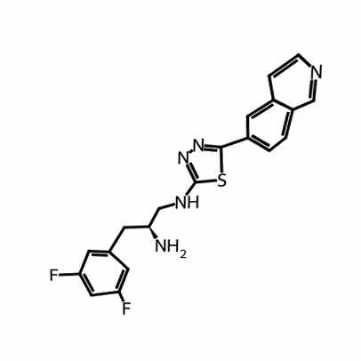 N[C@H](CNc1nnc(-c2ccc3cnccc3c2)s1)Cc1cc(F)cc(F)c1